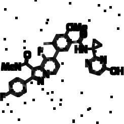 CNC(=O)c1c(-c2ccc(F)cc2)nn2ccc(-c3cc(C(=O)NC4(c5nccc(O)n5)CC4)c(OC)cc3C)c(F)c12